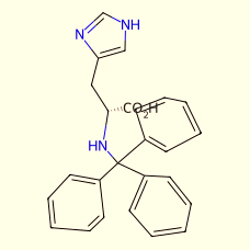 O=C(O)[C@@H](Cc1c[nH]cn1)NC(c1ccccc1)(c1ccccc1)c1ccccc1